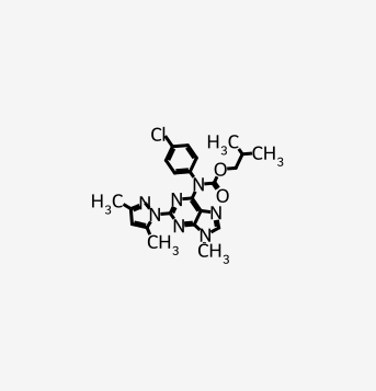 Cc1cc(C)n(-c2nc(N(C(=O)OCC(C)C)c3ccc(Cl)cc3)c3ncn(C)c3n2)n1